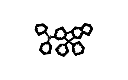 c1ccc(N(c2ccccc2)c2ccc3c(c2)C(c2ccccc2)(c2ccccc2)c2cc4ccccc4cc2-3)cc1